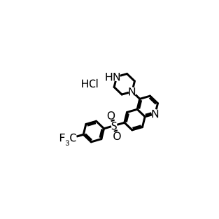 Cl.O=S(=O)(c1ccc(C(F)(F)F)cc1)c1ccc2nccc(N3CCNCC3)c2c1